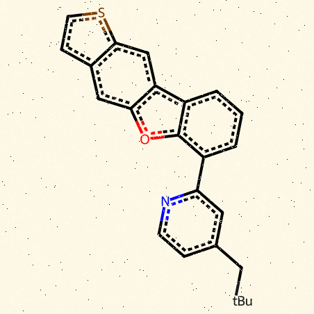 CC(C)(C)Cc1ccnc(-c2cccc3c2oc2cc4ccsc4cc23)c1